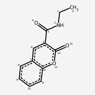 CCNC(=O)c1cc2ccccc2oc1=O